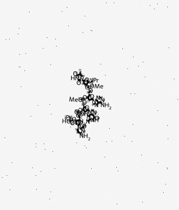 COP(OC[C@H]1O[C@@H](n2cnc3c(N)ncnc32)C[C@H]1OP(OC)OC[C@H]1O[C@@H](n2cnc3c(=O)[nH]c(N)nc32)C[C@H]1OP(=O)(O)OC[C@H]1O[C@@H](n2ccc(N)nc2=O)C[C@H]1OP(=O)(O)C(C)C)O[C@@H]1C[C@H](n2cc(C)c(=O)[nH]c2=O)O[C@@H]1CC(C)C